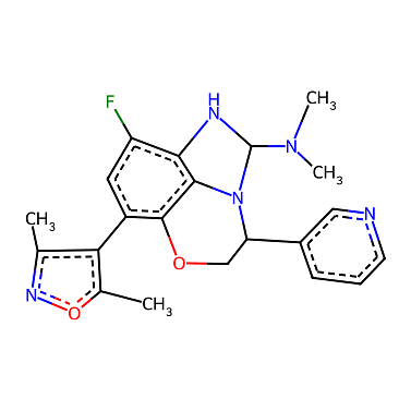 Cc1noc(C)c1-c1cc(F)c2c3c1OCC(c1cccnc1)N3C(N(C)C)N2